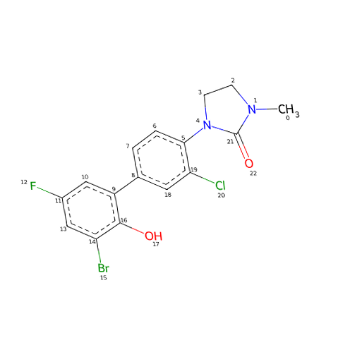 CN1CCN(c2ccc(-c3cc(F)cc(Br)c3O)cc2Cl)C1=O